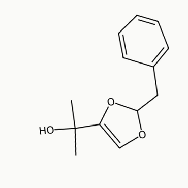 CC(C)(O)C1=COC(Cc2ccccc2)O1